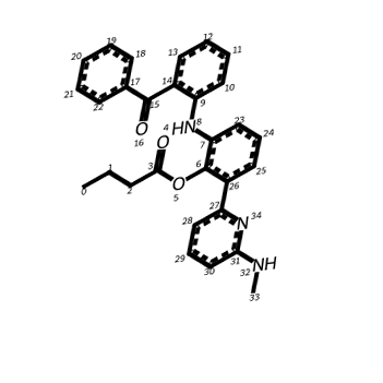 CCCC(=O)Oc1c(Nc2ccccc2C(=O)c2ccccc2)cccc1-c1cccc(NC)n1